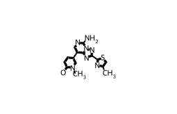 Cc1csc(-c2nc3c(-c4ccc(=O)n(C)c4)cnc(N)n3n2)n1